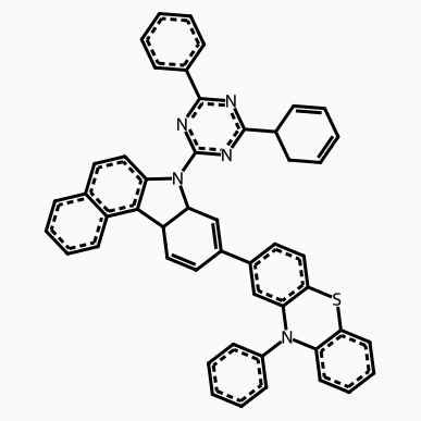 C1=CCC(c2nc(-c3ccccc3)nc(N3c4ccc5ccccc5c4C4C=CC(c5ccc6c(c5)N(c5ccccc5)c5ccccc5S6)=CC43)n2)C=C1